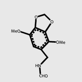 COc1cc(CNC=O)c(OC)c2c1OCO2